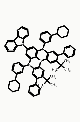 CC(C)(C)c1cc2c(cc1-c1ccccc1)N(c1cccc(C3CCCCC3)c1)c1cc(-n3c4ccccc4c4ccccc43)cc3c1B2c1cc(C(C)(C)C)c(-c2ccccc2)cc1N3c1cccc(C2CCCCC2)c1